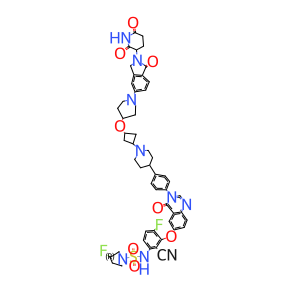 N#Cc1c(NS(=O)(=O)N2CC[C@@H](F)C2)ccc(F)c1Oc1ccc2ncn(-c3ccc(C4CCN(C5CC(OC6CCN(c7ccc8c(c7)CN(C7CCC(=O)NC7=O)C8=O)CC6)C5)CC4)cc3)c(=O)c2c1